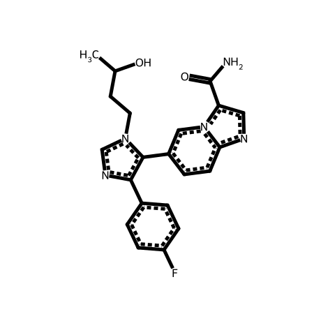 CC(O)CCn1cnc(-c2ccc(F)cc2)c1-c1ccc2ncc(C(N)=O)n2c1